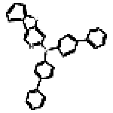 c1ccc(-c2ccc(N(c3ccc(-c4ccccc4)cc3)c3cc4oc5ccccc5c4cn3)cc2)cc1